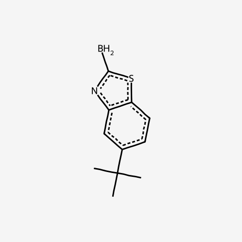 Bc1nc2cc(C(C)(C)C)ccc2s1